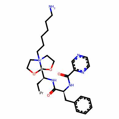 CC(C)C[C@H](NC(=O)[C@H](Cc1ccccc1)NC(=O)c1cnccn1)[B-]12OCC[N+]1(CCCCCCN)CCO2